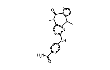 CN1C(=O)c2sccc2N(C)c2nc(Nc3ccc(C(N)=O)cc3)ncc21